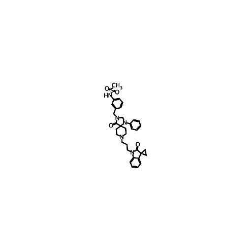 CS(=O)(=O)Nc1cccc(CN2CN(c3ccccc3)C3(CCN(CCCN4C(=O)C5(CC5)c5ccccc54)CC3)C2=O)c1